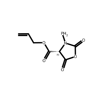 C=CCOC(=O)[C@H]1C(=O)OC(=O)N1P